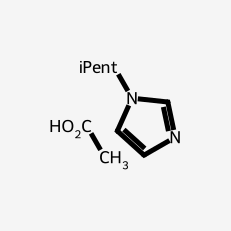 CC(=O)O.CCCC(C)n1ccnc1